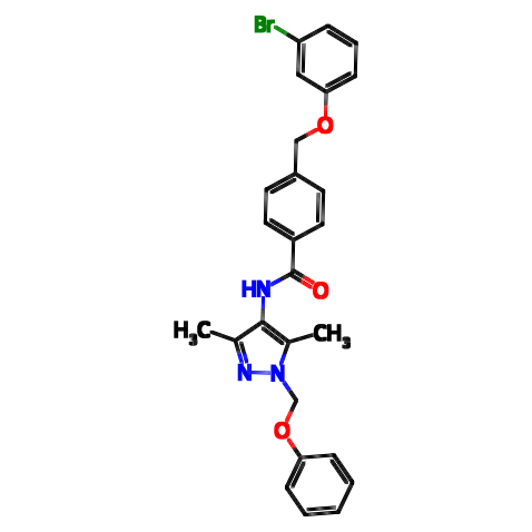 Cc1nn(COc2ccccc2)c(C)c1NC(=O)c1ccc(COc2cccc(Br)c2)cc1